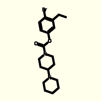 CCc1cc(OC(=O)N2CCC(N3CCCCC3)CC2)ccc1Br